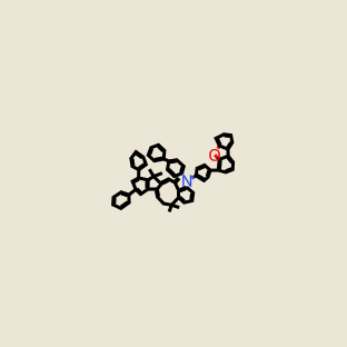 C=C1/C=C2\C(=C/CC(C)(C)c3cccc(N(c4ccc(-c5ccccc5)cc4)c4ccc(-c5cccc6c5oc5ccccc56)cc4)c31)c1cc(-c3ccccc3)cc(-c3ccccc3)c1C2(C)C